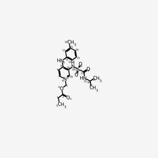 CCC(=O)OC[n+]1ccc(Nc2cccc(C)c2)c(NS(=O)(=O)C(=O)NC(C)C)c1